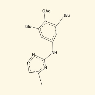 CC(=O)Oc1c(C(C)(C)C)cc(Nc2nccc(C)n2)cc1C(C)(C)C